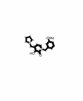 COc1cccc(Cn2ccc(CN3CCCC3)c(O)c2=O)c1